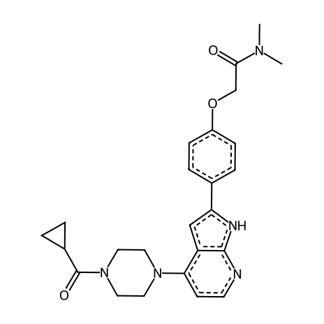 CN(C)C(=O)COc1ccc(-c2cc3c(N4CCN(C(=O)C5CC5)CC4)ccnc3[nH]2)cc1